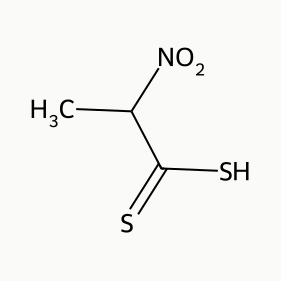 CC(C(=S)S)[N+](=O)[O-]